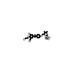 Cc1nc(NS(C)(=O)=O)nc(COc2ccc(C(C)(C)c3cc(Cl)c(OCCCl)c(C#N)c3)cc2)c1C